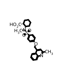 Cc1cc(COc2ccc(S(=O)(=O)N(C)[C@@H]3CCCC[C@H]3C(=O)O)cc2)c2ccccc2n1